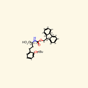 CC(C)(C)Oc1ccccc1CC[C@H](NC(=O)OCC1c2ccccc2-c2ccccc21)C(=O)O